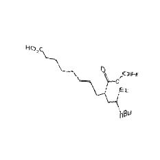 CCCCC(CC)CC(CCCCCCCC(=O)O)C(=O)OO